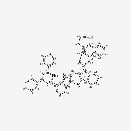 c1ccc(-c2nc(-c3ccccc3)nc(-c3cccc4c3oc3cc5c(cc34)c3ccccc3n5-c3ccc4c5ccccc5c5ccccc5c4c3)n2)cc1